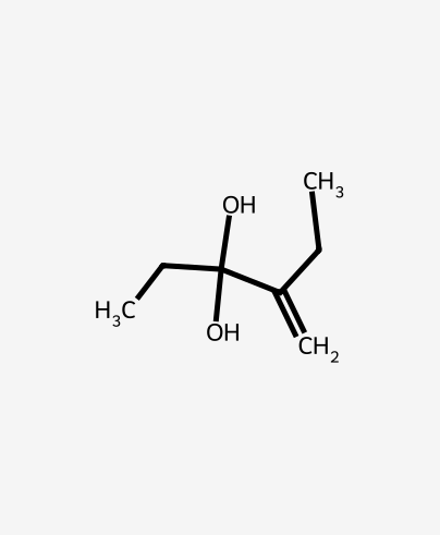 C=C(CC)C(O)(O)CC